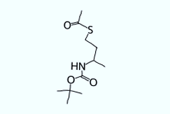 CC(=O)SCCC(C)NC(=O)OC(C)(C)C